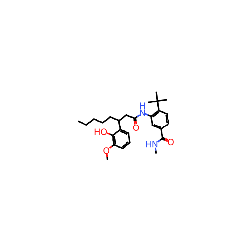 CCCCCC(CC(=O)Nc1cc(C(=O)NC)ccc1C(C)(C)C)c1cccc(OC)c1O